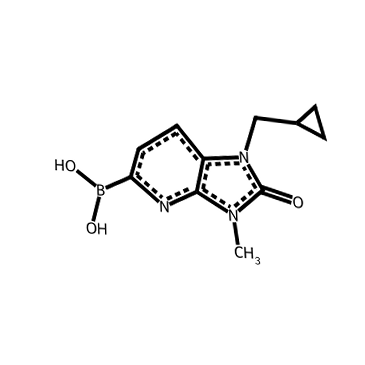 Cn1c(=O)n(CC2CC2)c2ccc(B(O)O)nc21